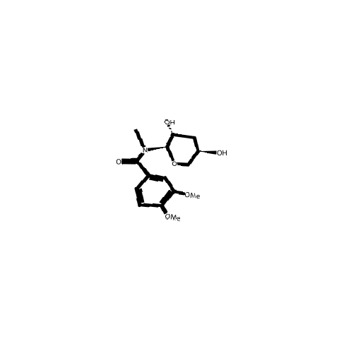 COc1ccc(C(=O)N(C)[C@@H]2OC[C@H](O)C[C@H]2O)cc1OC